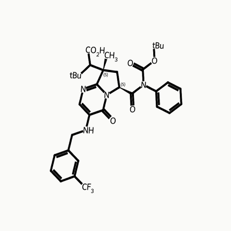 CC(C)(C)OC(=O)N(C(=O)[C@@H]1C[C@@](C)(C(C(=O)O)C(C)(C)C)c2ncc(NCc3cccc(C(F)(F)F)c3)c(=O)n21)c1ccccc1